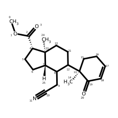 COC(=O)[C@H]1CC[C@H]2C(CC#N)C([C@@]3(C)CCC=CC3=O)CC[C@]12C